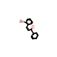 O=C(/C=C\c1ccccc1Br)c1ccccc1